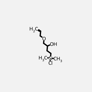 C=CCOCC(O)CC[Si](C)(C)Cl